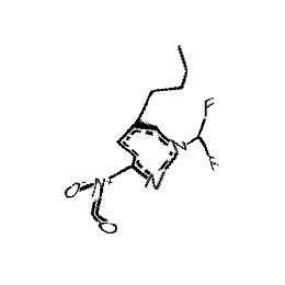 CCCc1cc([N+](=O)[O-])nn1C(F)F